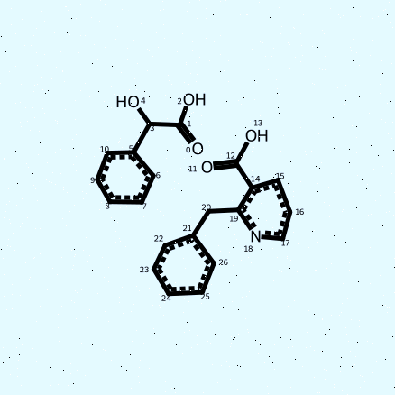 O=C(O)C(O)c1ccccc1.O=C(O)c1cccnc1Cc1ccccc1